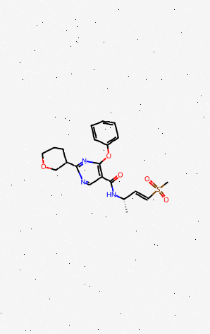 C[C@@H](/C=C/S(C)(=O)=O)NC(=O)c1cnc(C2CCCOC2)nc1Oc1ccccc1